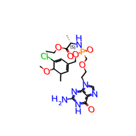 CCOC(=O)[C@H](C)NP(=O)(COCCn1cnc2c(=O)[nH]c(N)nc21)OCC1=CC(C)C(OC)C(Cl)=C1